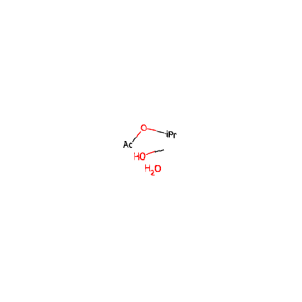 CC(=O)OC(C)C.CO.O